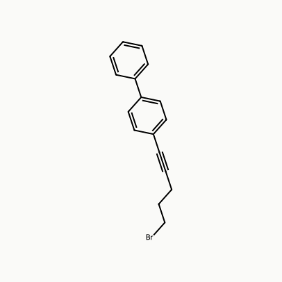 BrCCCC#Cc1ccc(-c2ccccc2)cc1